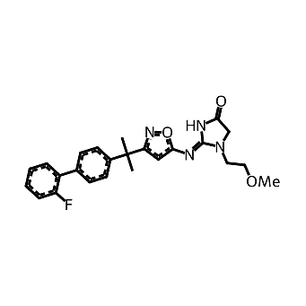 COCCN1CC(=O)N/C1=N\c1cc(C(C)(C)c2ccc(-c3ccccc3F)cc2)no1